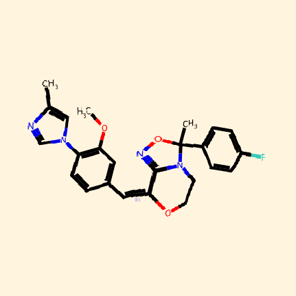 COc1cc(/C=C2/OCCN3C2=NOC3(C)c2ccc(F)cc2)ccc1-n1cnc(C)c1